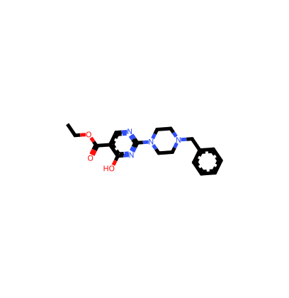 CCOC(=O)c1cnc(N2CCN(Cc3ccccc3)CC2)nc1O